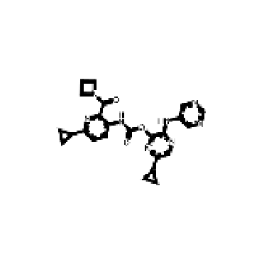 O=C(Nc1ccc(C2CC2)nc1C(=O)N1CCC1)Oc1nc(C2CC2)cnc1Nc1cncnc1